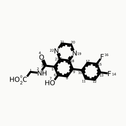 O=C(O)CNC(=O)c1c(O)cc(-c2ccc(F)c(F)c2)c2nccnc12